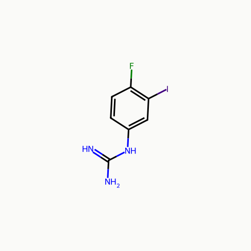 N=C(N)Nc1ccc(F)c(I)c1